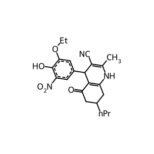 CCCC1CC(=O)C2=C(C1)NC(C)=C(C#N)C2c1cc(OCC)c(O)c([N+](=O)[O-])c1